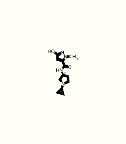 Cn1nc(O)cc1C(=O)N[C@H]1CCN(C2CC2)C1